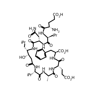 CC(C)C[C@H](NC(=O)[C@H](CC(N)=O)NC(=O)[C@@H](NC(=O)[C@@H](N)CCC(=O)O)C(C)C)[C@@H](O)CC(=O)N[C@H](C(=O)N[C@@H](C)C(=O)N[C@@H](CCC(=O)O)C(=O)N[C@@H](Cc1ccccc1)C(=O)O)C(C)C